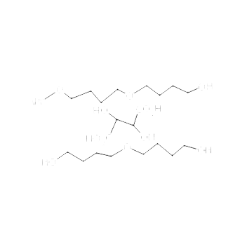 CC(C)OCCCCOCCCCO.O=C(O)C(O)C(O)C(=O)O.OCCCCOCCCCO